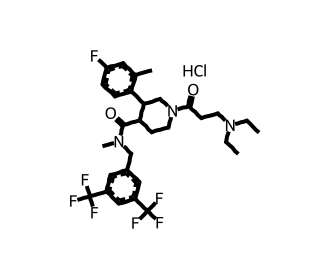 CCN(CC)CCC(=O)N1CCC(C(=O)N(C)Cc2cc(C(F)(F)F)cc(C(F)(F)F)c2)C(c2ccc(F)cc2C)C1.Cl